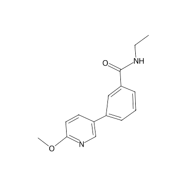 CCNC(=O)c1cccc(-c2ccc(OC)nc2)c1